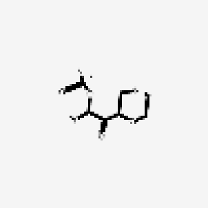 CC(C)C(OC(N)=O)C(=O)C1CNCCO1